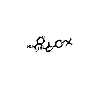 Cc1c(Nc2cnccc2C(=O)O)cnn1C1CCN(CC(F)(F)F)CC1